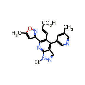 CCn1ncc2c(-c3cncc(C)c3)c(C=CC(=O)O)c(-c3cc(C)on3)nc21